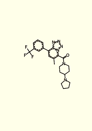 Cc1cc(-c2cccc(C(F)(F)F)c2)c2nnnn2c1C(=O)N1CCC(N2CCCC2)CC1